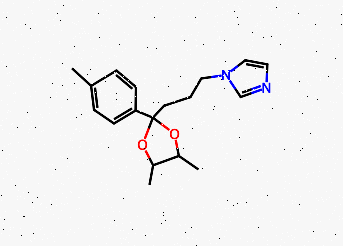 Cc1ccc(C2(CCCn3ccnc3)OC(C)C(C)O2)cc1